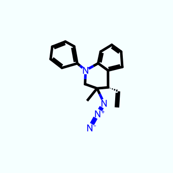 C=C[C@H]1c2ccccc2N(c2ccccc2)CC1(C)N=[N+]=[N-]